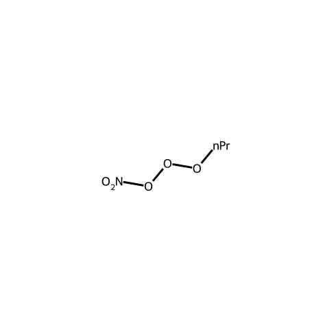 CCCOOO[N+](=O)[O-]